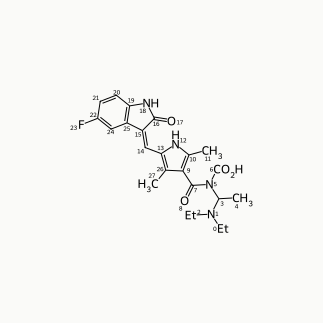 CCN(CC)C(C)N(C(=O)O)C(=O)c1c(C)[nH]c(C=C2C(=O)Nc3ccc(F)cc32)c1C